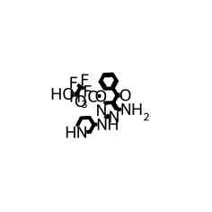 COc1ccccc1C(=O)c1cnc(NC2CCCNC2)nc1N.O=C(O)C(F)(F)F